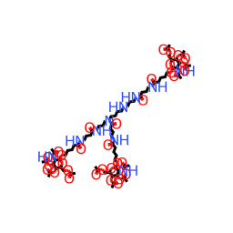 CC(=O)NC1C(OCCCCC(=O)NCCCC(=O)NCCCNCCCCN(CCCNC(=O)CCCNC(=O)CCCCOC2OC(COC(C)=O)C(OC(C)=O)C(OC(C)=O)C2NC(C)=O)C(=O)CCCNC(=O)CCCCOC2OC(COC(C)=O)C(OC(C)=O)C(OC(C)=O)C2NC(C)=O)OC(COC(C)=O)C(OC(C)=O)C1OC(C)=O